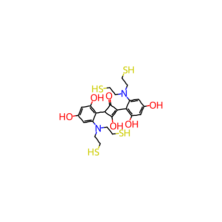 O=C1C(c2c(O)cc(O)cc2N(CCS)CCS)=C(O)C1c1c(O)cc(O)cc1N(CCS)CCS